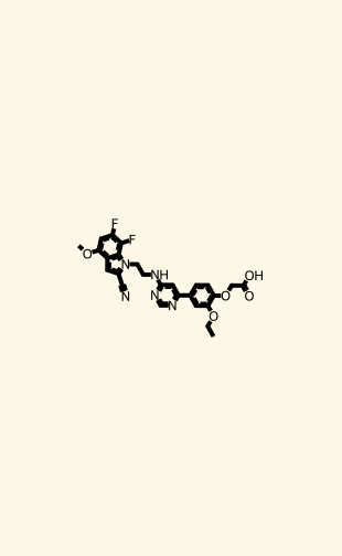 CCOc1cc(-c2cc(NCCn3c(C#N)cc4c(OC)cc(F)c(F)c43)ncn2)ccc1OCC(=O)O